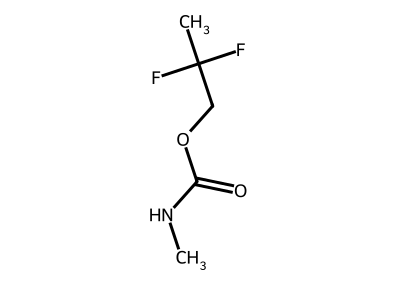 CNC(=O)OCC(C)(F)F